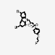 O=S(=O)(CC(O)Cn1c2ccc(Br)cc2c2cc(Br)ccc21)c1ccc(OCCF)cc1